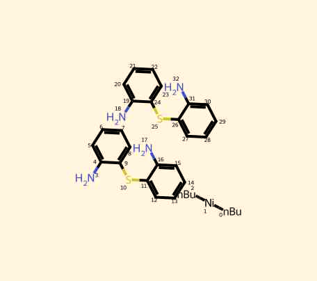 CCC[CH2][Ni][CH2]CCC.Nc1ccccc1Sc1ccccc1N.Nc1ccccc1Sc1ccccc1N